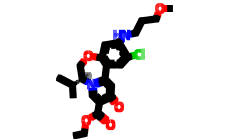 CCOC(=O)c1cn2c(cc1=O)-c1cc(Cl)c(NCCCOC)cc1OC[C@H]2C(C)C